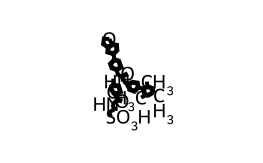 Cc1cc(C)c(-c2ccc(NC(=O)[C@H](Cc3ccc(C(=O)NCCS(=O)(=O)O)cc3)c3ccc(-c4ccc5c(c4)CCO5)cc3)cc2)c(C)c1